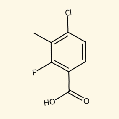 Cc1c(Cl)ccc(C(=O)O)c1F